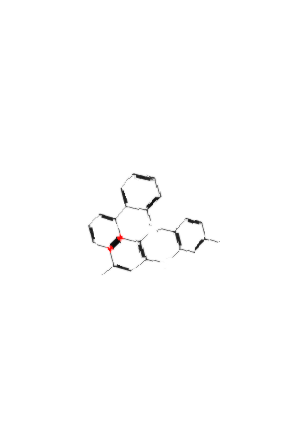 Cc1ccc2c(c1)Sc1cc(C)ccc1N2c1ccccc1-c1ccccc1